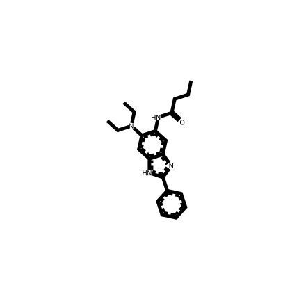 CCCC(=O)Nc1cc2nc(-c3ccccc3)[nH]c2cc1N(CC)CC